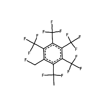 CC(F)(F)c1c(CF)c(C(F)(F)F)c(C(F)(F)F)c(C(F)(F)F)c1C(F)(F)F